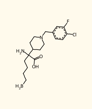 BCCCCC(N)(C(=O)O)C1CCN(Cc2ccc(Cl)c(F)c2)CC1